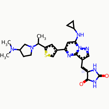 CC(c1cc(-c2cc(NC3CC3)n3ncc(/C=C4\NC(=O)NC4=O)c3n2)cs1)N1CCC(N(C)C)C1